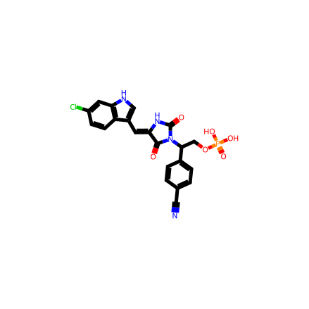 N#Cc1ccc(C(COP(=O)(O)O)N2C(=O)N/C(=C\c3c[nH]c4cc(Cl)ccc34)C2=O)cc1